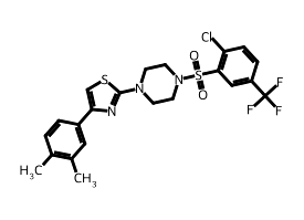 Cc1ccc(-c2csc(N3CCN(S(=O)(=O)c4cc(C(F)(F)F)ccc4Cl)CC3)n2)cc1C